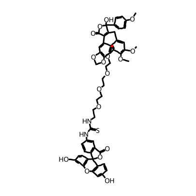 COc1ccc(C2(O)OC(=O)C(c3ccc4c(c3)OCO4)=C2Cc2cc(OC)c(OC)c(OCCOCCOCCOCCNC(=S)Nc3ccc4c(c3)C(=O)OC43c4ccc(O)cc4Oc4cc(O)ccc43)c2)cc1